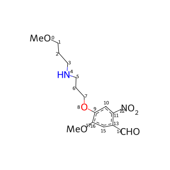 COCCCNCCCOc1cc([N+](=O)[O-])c(C=O)cc1OC